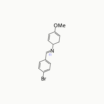 COC1=CCC(/N=C/c2ccc(Br)cc2)C=C1